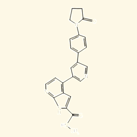 CNC(=O)c1cc2c(-c3cncc(-c4ccc(N5CCCC5=O)cc4)c3)ccnc2[nH]1